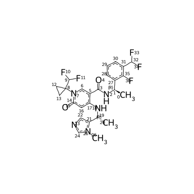 C[C@@H](NC(=O)c1cn(C2(C(F)F)CC2)c(=O)cc1N[C@H](C)c1cncn1C)c1cccc(C(F)F)c1F